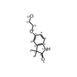 CC1(C)C(=O)Nc2ccc(OCCCl)cc21